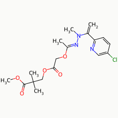 C=C(c1ccc(Cl)cn1)N(C)/N=C(\C)OCC(=O)OCC(C)(C)C(=O)OC